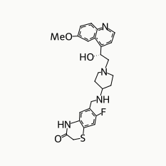 COc1ccc2nccc([C@@H](O)CN3CCC(NCc4cc5c(cc4F)SCC(=O)N5)CC3)c2c1